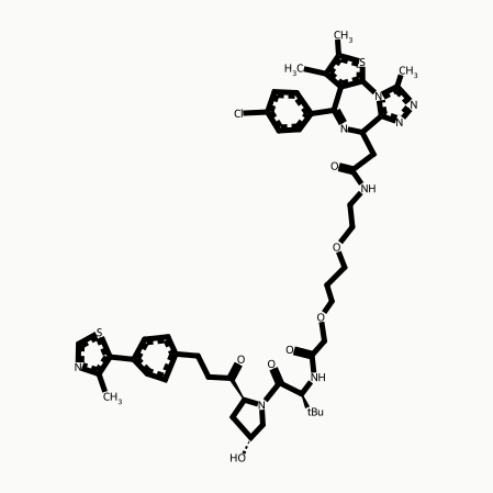 Cc1ncsc1-c1ccc(CCC(=O)[C@@H]2C[C@@H](O)CN2C(=O)[C@@H](NC(=O)COCCCOCCNC(=O)CC2N=C(c3ccc(Cl)cc3)c3c(sc(C)c3C)-n3c(C)nnc32)C(C)(C)C)cc1